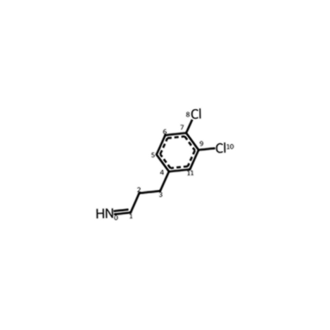 N=CCCc1ccc(Cl)c(Cl)c1